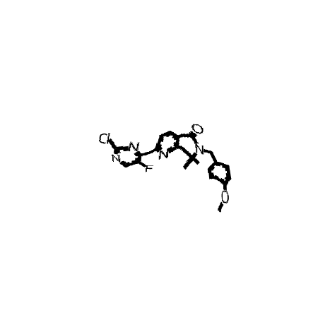 COc1ccc(CN2C(=O)c3ccc(-c4nc(Cl)ncc4F)nc3C2(C)C)cc1